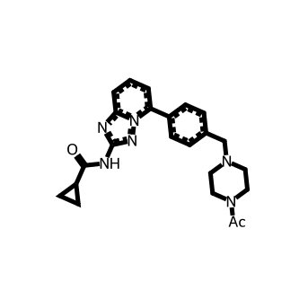 CC(=O)N1CCN(Cc2ccc(-c3cccc4nc(NC(=O)C5CC5)nn34)cc2)CC1